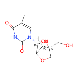 Cc1cn([C@@H]2O[C@@]3(CO)COC2[C@H]3O)c(=O)[nH]c1=O